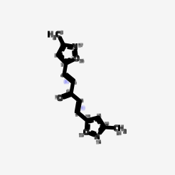 Cc1cc(/C=C/C(=O)/C=C/c2cc(C)no2)on1